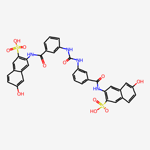 O=C(Nc1cccc(C(=O)Nc2cc3cc(O)ccc3cc2S(=O)(=O)O)c1)Nc1cccc(C(=O)Nc2cc3cc(O)ccc3cc2S(=O)(=O)O)c1